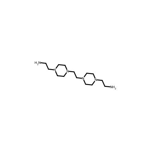 NCCN1CCN(CCN2CCN(CCN)CC2)CC1